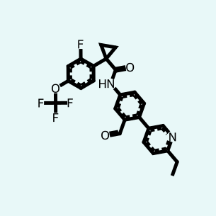 CCc1ccc(-c2ccc(NC(=O)C3(c4ccc(OC(F)(F)F)cc4F)CC3)cc2C=O)cn1